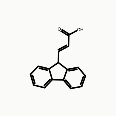 O=C(O)C=CC1c2ccccc2-c2ccccc21